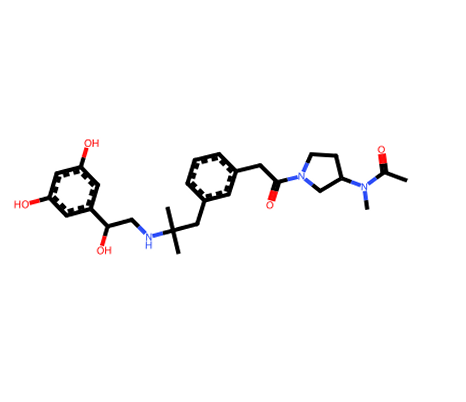 CC(=O)N(C)C1CCN(C(=O)Cc2cccc(CC(C)(C)NCC(O)c3cc(O)cc(O)c3)c2)C1